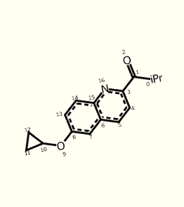 CC(C)C(=O)c1ccc2cc(OC3CC3)ccc2n1